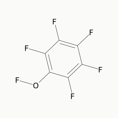 FOc1c(F)c(F)c(F)c(F)c1F